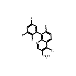 CCOC(=O)c1cnc2c(-c3cc(F)cc(F)c3F)c(F)ccc2c1CC